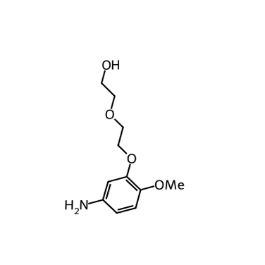 COc1ccc(N)cc1OCCOCCO